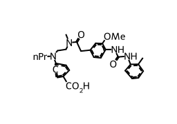 CCCN(CCN(C)C(=O)Cc1ccc(NC(=O)Nc2ccccc2C)c(OC)c1)c1ccc(C(=O)O)cc1